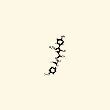 CCCc1ccc(-c2c(O)c(/C(C)=N/NC(=S)Nc3ccc(C=O)cc3)nn2C)cc1